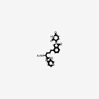 CC(=O)N[C@@H](CCCc1cccc2c1CN(C1CCC(=O)NC1=O)C2=O)c1nc2ccncc2[nH]1